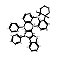 CC12CCCCC1(C)N1c3cccc4c3B(c3cccc2c31)c1c(n(-c2ccccc2)c2c1sc1ccccc12)N4c1ccccc1